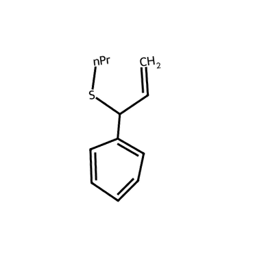 [CH2]CCSC(C=C)c1ccccc1